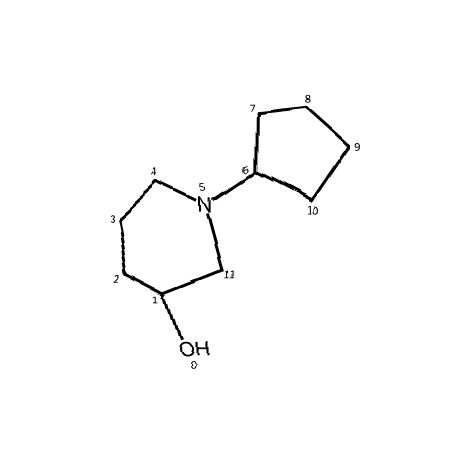 OC1CCCN(C2CCCC2)C1